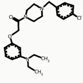 CCN(CC)c1cccc(OCC(=O)N2CCN(Cc3ccc(Cl)cc3)CC2)c1